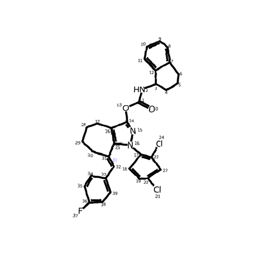 O=C(NC1CCCc2ccccc21)Oc1nn(-c2ccc(Cl)cc2Cl)c2c1CCCC/C2=C\c1ccc(F)cc1